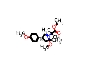 CCOC(=O)C(C)(C)N1C[C@@H](c2ccc(OC)cc2)CC1(C)OC